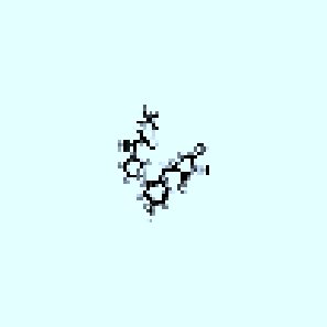 CC(C)(C)OC(=O)N[C@H]1CCN(c2cc(Cl)ccc2C=C2SC(=O)NC2=O)C1